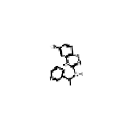 CC(NC1=NSc2ccc(Cl)cc2N1)c1cccnc1